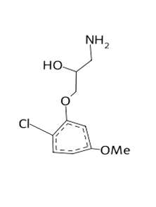 COc1ccc(Cl)c(OCC(O)CN)c1